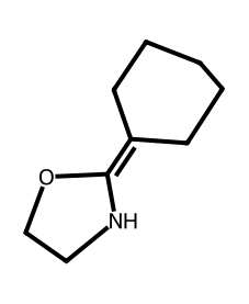 C1CCC(=C2NCCO2)CC1